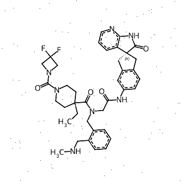 CCC1(C(=O)N(CC(=O)Nc2ccc3c(c2)C[C@@]2(C3)C(=O)Nc3ncccc32)Cc2ccccc2CNC)CCN(C(=O)N2CC(F)(F)C2)CC1